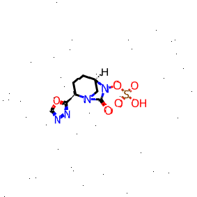 O=C1N2C[C@@H](CC[C@@H]2c2nnco2)N1OS(=O)(=O)O